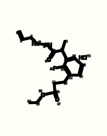 C=CCNNC(=O)C(C)c1cccc(CCC(=O)OCC)c1F.Cl